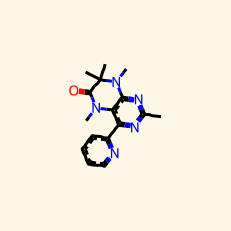 Cc1nc(-c2ccccn2)c2c(n1)N(C)C(C)(C)C(=O)N2C